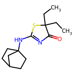 CCC1(CC)SC(NC23CCC(CC2)C3)=NC1=O